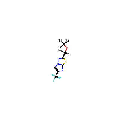 [2H]C([2H])([2H])OC([2H])([2H])c1nn2cc(C(F)(F)F)nc2s1